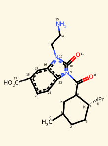 CC1CC[C@@H](C(C)C)C(C(=O)n2c(=O)n(CCN)c3cc(C(=O)O)ccc32)C1